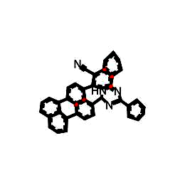 N#Cc1ccccc1-c1ccc(-c2cccc3cccc(-c4ccc(C5N=C(c6ccccc6)N=C(c6ccccc6)N5)cc4)c23)cc1